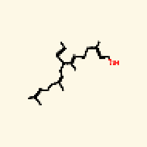 CC=CC(CC=C(C)CCC=C(C)C)C(C)=CCCC(C)=CCO